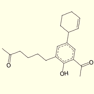 CC(=O)CCCCc1cc(C2C=CCCC2)cc(C(C)=O)c1O